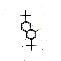 CC(C)(C)c1cc(F)c2cc(C(C)(C)C)ccc2c1